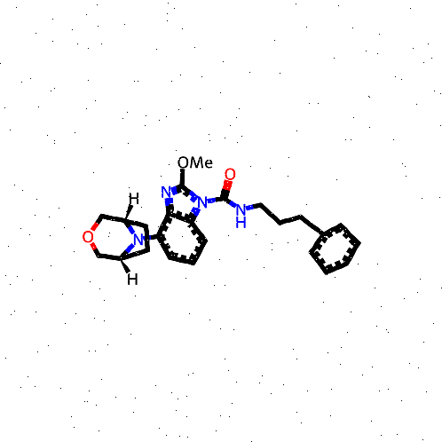 COc1nc2c(N3[C@@H]4CC[C@H]3COC4)cccc2n1C(=O)NCCCc1ccccc1